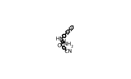 N#Cc1ccc(C(=O)c2sc(Nc3ccc(N4CCC(N5CCCCC5)CC4)cc3)nc2N)cc1